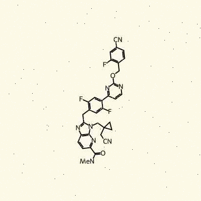 CNC(=O)c1ccc2nc(Cc3cc(F)c(-c4ccnc(OCc5ccc(C#N)cc5F)n4)cc3F)n(CC3(CC#N)CC3)c2n1